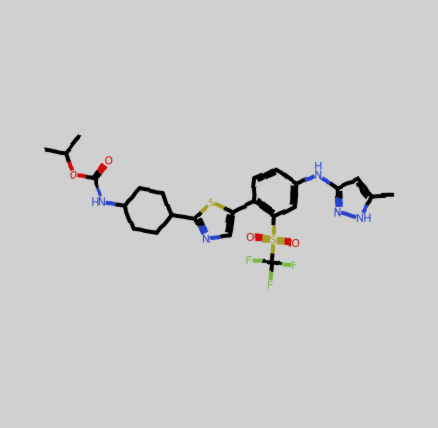 Cc1cc(Nc2ccc(-c3cnc(C4CCC(NC(=O)OC(C)C)CC4)s3)c(S(=O)(=O)C(F)(F)F)c2)n[nH]1